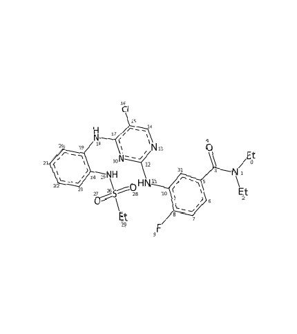 CCN(CC)C(=O)c1ccc(F)c(Nc2ncc(Cl)c(Nc3ccccc3NS(=O)(=O)CC)n2)c1